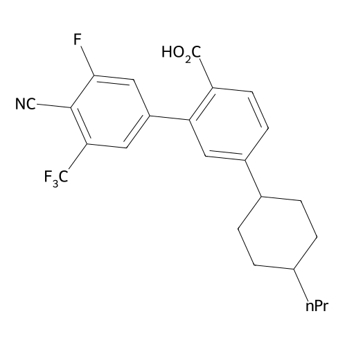 CCCC1CCC(c2ccc(C(=O)O)c(-c3cc(F)c(C#N)c(C(F)(F)F)c3)c2)CC1